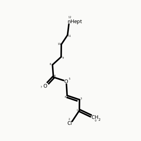 C=C(Cl)C=COC(=O)CCCCCCCCCCC